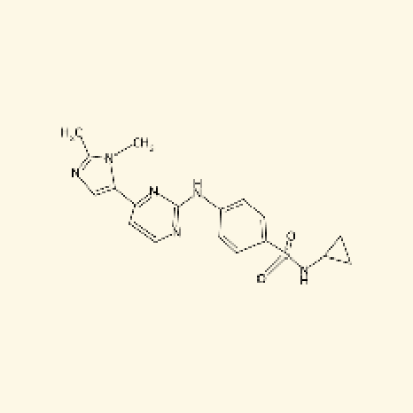 Cc1ncc(-c2ccnc(Nc3ccc(S(=O)(=O)NC4CC4)cc3)n2)n1C